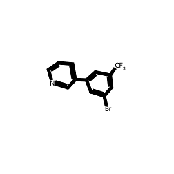 FC(F)(F)c1cc(Br)cc(-c2cccnc2)c1